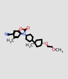 COCCO[C@H]1CC[C@](C)(C2CCC(n3c(=O)oc4cc(C#N)c(C)cc43)CC2)CC1